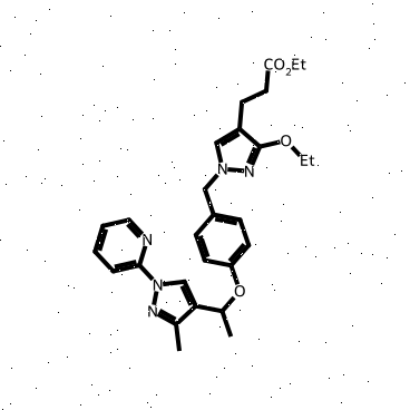 CCOC(=O)CCc1cn(Cc2ccc(OC(C)c3cn(-c4ccccn4)nc3C)cc2)nc1OCC